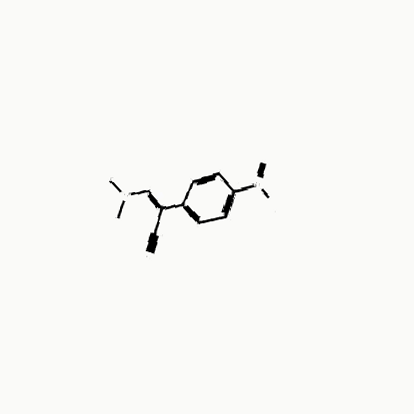 CN(C)/C=C(\C#N)c1ccc([N+](=O)[O-])cc1